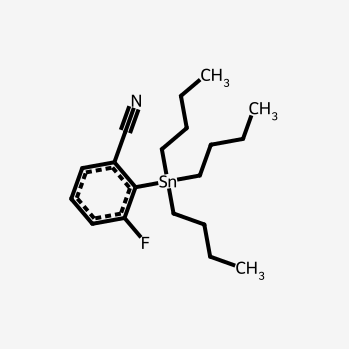 CCC[CH2][Sn]([CH2]CCC)([CH2]CCC)[c]1c(F)cccc1C#N